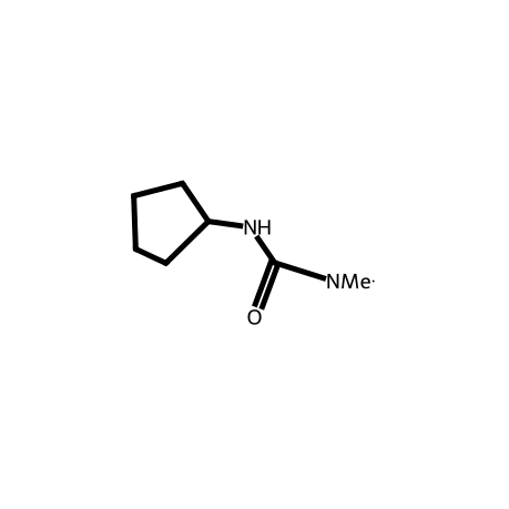 C[N]C(=O)NC1CCCC1